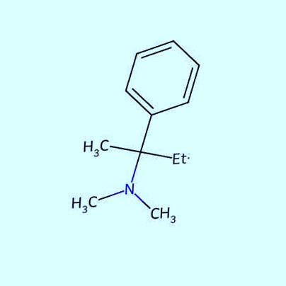 C[CH]C(C)(c1ccccc1)N(C)C